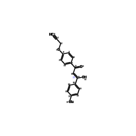 C#CCOc1ccc(C(=O)/C=C(\O)c2ccc(C(C)(C)C)cc2)cc1